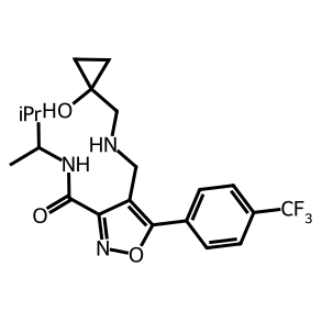 CC(C)C(C)NC(=O)c1noc(-c2ccc(C(F)(F)F)cc2)c1CNCC1(O)CC1